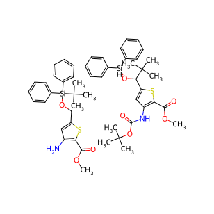 COC(=O)c1sc(C(O[SiH](c2ccccc2)c2ccccc2)C(C)(C)C)cc1NC(=O)OC(C)(C)C.COC(=O)c1sc(CO[Si](c2ccccc2)(c2ccccc2)C(C)(C)C)cc1N